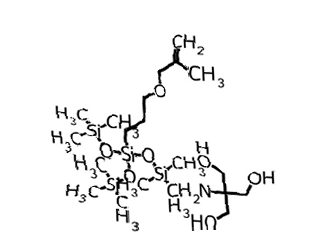 C=C(C)COCCC[Si](O[Si](C)(C)C)(O[Si](C)(C)C)O[Si](C)(C)C.NC(CO)(CO)CO